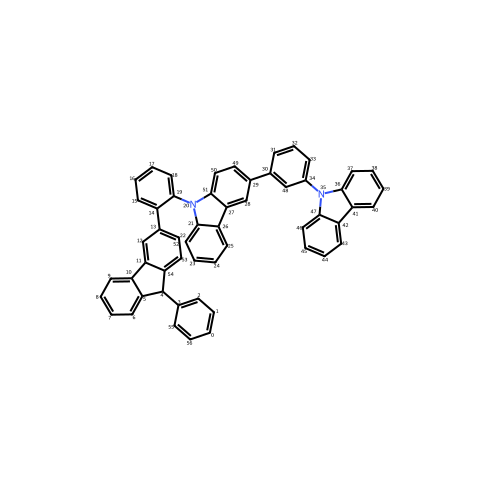 c1ccc(C2c3ccccc3-c3cc(-c4ccccc4-n4c5ccccc5c5cc(-c6cccc(-n7c8ccccc8c8ccccc87)c6)ccc54)ccc32)cc1